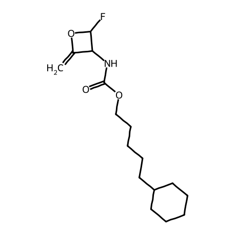 C=C1OC(F)C1NC(=O)OCCCCCC1CCCCC1